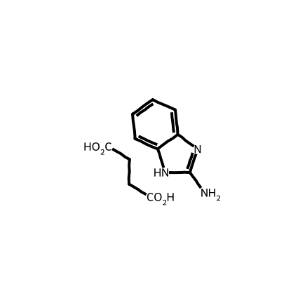 Nc1nc2ccccc2[nH]1.O=C(O)CCC(=O)O